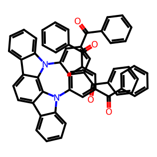 O=C(c1ccccc1)c1cc(C(=O)c2ccccc2)cc(-n2c3ccccc3c3ccc4c5ccccc5n(-c5cc(C(=O)c6ccccc6)cc(C(=O)c6ccccc6)c5)c4c32)c1